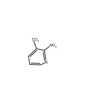 O=[N+]([O-])c1ncccc1C(Cl)(Cl)Cl